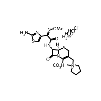 CO/N=C(\C(=O)N[C@@H]1C(=O)N2C(C(=O)O)=C(C[N+]3(C)CCCC3)CS[C@H]12)c1csc(N)n1.Cl.O.O.[Cl-]